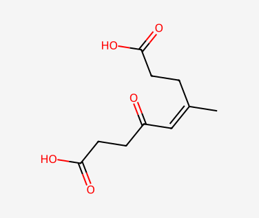 CC(=CC(=O)CCC(=O)O)CCC(=O)O